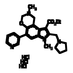 CCOC(=O)c1c(CN2CCCC2)n(C)c2cc(-c3cccnc3)c3c(c12)CN(C)CO3.Cl.Cl.Cl